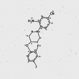 Cc1ccc(OC2CCN(c3ccc(C#N)cc3N)CC2)c(F)c1